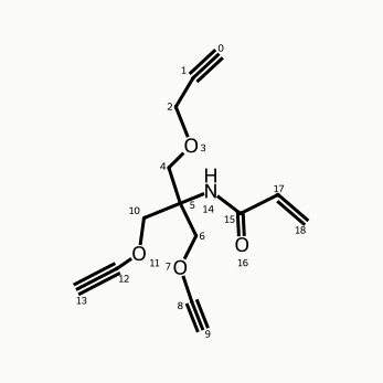 C#CCOCC(COC#C)(COC#C)NC(=O)C=C